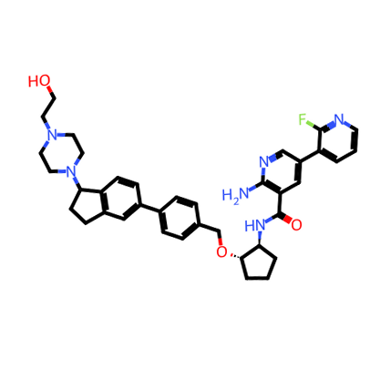 Nc1ncc(-c2cccnc2F)cc1C(=O)N[C@H]1CCC[C@@H]1OCc1ccc(-c2ccc3c(c2)CCC3N2CCN(CCO)CC2)cc1